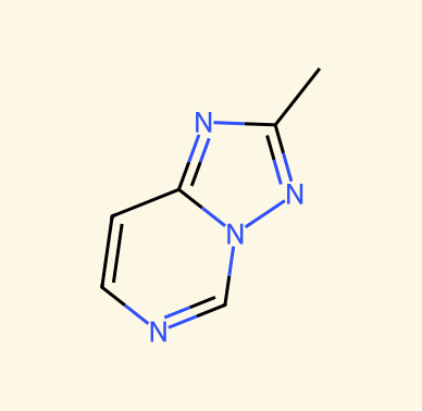 Cc1nc2ccncn2n1